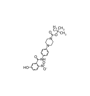 CC(C)(C)OC(=O)N1CCN(c2ccc(NC(=O)c3cc(O)ccc3[N+](=O)[O-])cc2)CC1